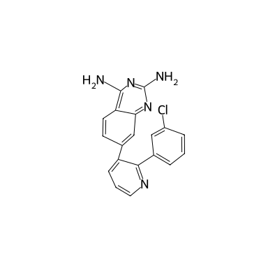 Nc1nc(N)c2ccc(-c3cccnc3-c3cccc(Cl)c3)cc2n1